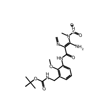 C=N/C(C(=O)Nc1cccc(CNC(=O)OC(C)(C)C)c1OC)=C(/N)N(C)[SH](=O)=O